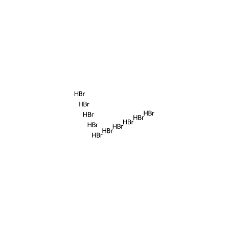 Br.Br.Br.Br.Br.Br.Br.Br.Br.Br